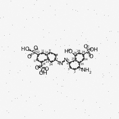 Nc1ccc(N=Nc2ccc3cc(S(=O)(=O)O)cc(S(=O)(=O)O)c3c2)c2c(O)cc(S(=O)(=O)O)cc12